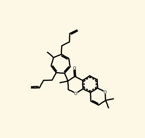 C=CCCC1=CC(C)C(CCC=C)=CC=C1C1(C)COc2c(ccc3c2C=CC(C)(C)O3)C1=O